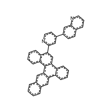 c1ccc2cc3c(cc2c1)c1ccccc1c1cc(-c2cc(-c4ccc5cccnc5c4)ccn2)c2ccccc2c13